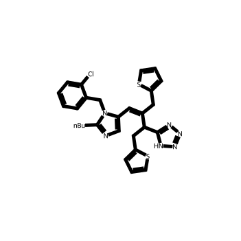 CCCCc1ncc(C=C(Cc2cccs2)C(Cc2cccs2)c2nnn[nH]2)n1Cc1ccccc1Cl